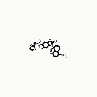 Nc1cccc2c1CC=CC2(C=O)n1c(=O)oc2cc(S(=O)(=O)Nc3nccs3)c(F)cc21